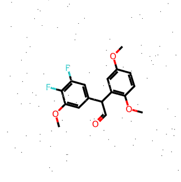 COc1ccc(OC)c(C(C=O)c2cc(F)c(F)c(OC)c2)c1